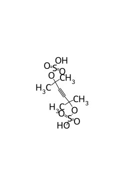 CC(C)(C#CC(C)(C)OS(=O)(=O)O)OS(=O)(=O)O